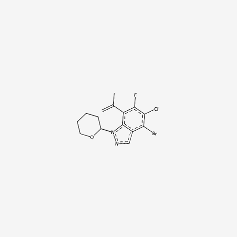 C=C(C)c1c(F)c(Cl)c(Br)c2cnn(C3CCCCO3)c12